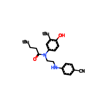 CC(C)(C)CCC(=O)N(CCNc1ccc(C#N)cc1)c1ccc(O)c(C(C)(C)C)c1